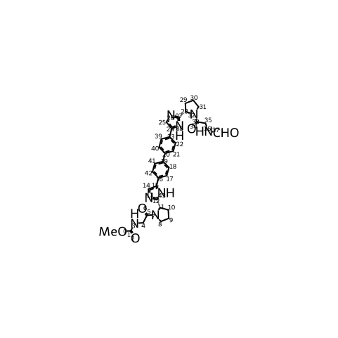 COC(=O)NCC(=O)N1CCC[C@H]1c1ncc(-c2ccc(-c3ccc(-c4cnc([C@@H]5CCCN5C(=O)CNC=O)[nH]4)cc3)cc2)[nH]1